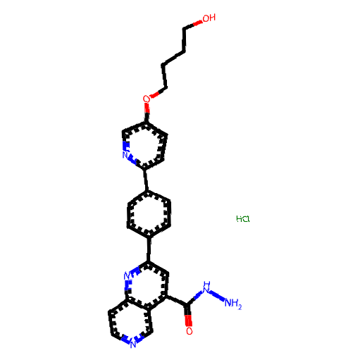 Cl.NNC(=O)c1cc(-c2ccc(-c3ccc(OCCCCO)cn3)cc2)nc2ccncc12